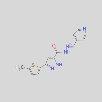 Cc1ccc(-c2cc(C(=O)N/N=C/c3ccncc3)[nH]n2)s1